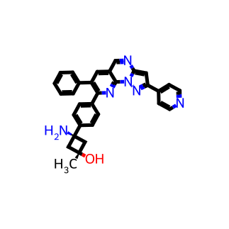 C[C@]1(O)C[C@@](N)(c2ccc(-c3nc4c(cnc5cc(-c6ccncc6)nn54)cc3-c3ccccc3)cc2)C1